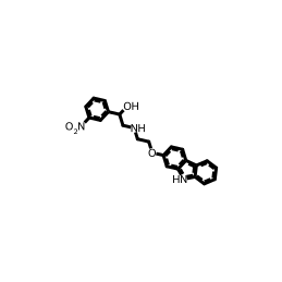 O=[N+]([O-])c1cccc(C(O)CNCCOc2ccc3c(c2)[nH]c2ccccc23)c1